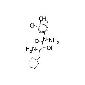 Cc1ccc(N(N)C(=O)C(O)[C@H](N)CC2CCCCC2)cc1Cl